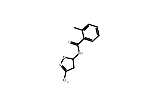 Cc1ccccc1C(=O)NC1CC(C(F)(F)F)=NO1